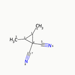 CC1C(C)C1(C#N)C#N